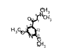 COc1cc(C(=O)CCN(C)C)cc(OC)n1